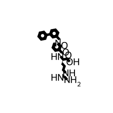 N=C(N)NCCC[C@H](NC(=O)c1cccn(Cc2cccc(-c3ccccc3)c2)c1=O)C(=O)O